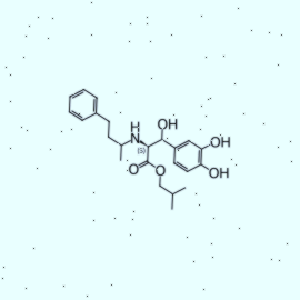 CC(C)COC(=O)[C@@H](NC(C)CCc1ccccc1)C(O)c1ccc(O)c(O)c1